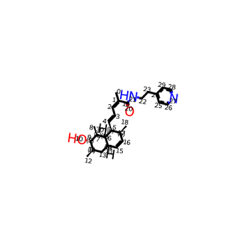 CC(=CC=C[C@@H]1[C@H]2[C@H](C)[C@@H](O)[C@H](C)C[C@@H]2C=C[C@@H]1C)C(=O)NCCc1ccncc1